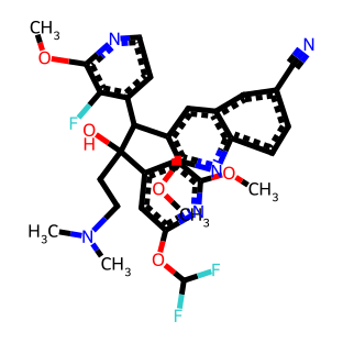 COc1cc(C(O)(CCN(C)C)C(c2cc3cc(C#N)ccc3nc2OC)c2ccnc(OC)c2F)cc(OC(F)F)n1